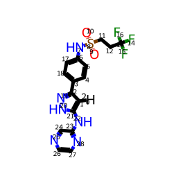 [2H]c1c(-c2ccc(NS(=O)(=O)CCC(F)(F)F)cc2)n[nH]c1Nc1cnccn1